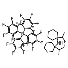 CC(C)C1([NH2+]C2(C(C)C)CCCCC2)CCCCC1.Fc1c(F)c(F)c([B-](c2c(F)c(F)c(F)c(F)c2F)(c2c(F)c(F)c(F)c(F)c2F)c2c(F)c(F)c(F)c(F)c2F)c(F)c1F